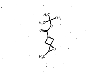 CC1OC12CN(C(=O)OC(C)(C)C)C2